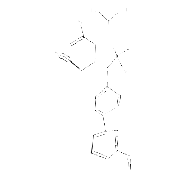 CC(C)C[C@@H](C(N)=O)N(CC#N)[C@@H](c1ccc(-c2cccc(C=O)c2)cc1)C(F)(F)F